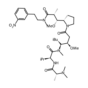 CC[C@H](C)[C@@H]([C@@H](CC(=O)N1CCC[C@H]1[C@H](OC)[C@@H](C)C(=O)N(C)CCc1cccc([N+](=O)[O-])c1)OC)N(C)C(=O)[C@@H](NC(=O)[C@@H](C)N(C)C)C(C)C